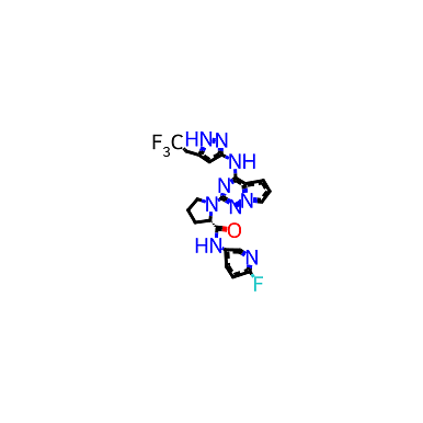 O=C(Nc1ccc(F)nc1)[C@@H]1CCCN1c1nc(Nc2cc(CC(F)(F)F)[nH]n2)c2cccn2n1